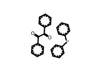 O=C(C(=O)c1ccccc1)c1ccccc1.c1ccc([I+]c2ccccc2)cc1